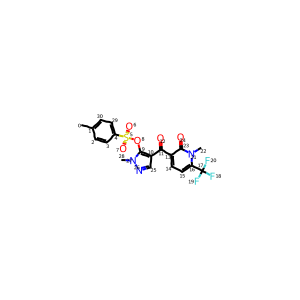 Cc1ccc(S(=O)(=O)Oc2c(C(=O)c3ccc(C(F)(F)F)n(C)c3=O)cnn2C)cc1